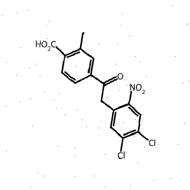 Cc1cc(C(=O)Cc2cc(Cl)c(Cl)cc2[N+](=O)[O-])ccc1C(=O)O